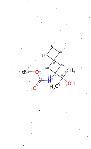 CC(C)(C)OC(=O)NC1(C(C)(C)O)CC2(CCC2)C1